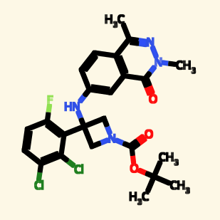 Cc1nn(C)c(=O)c2cc(NC3(c4c(F)ccc(Cl)c4Cl)CN(C(=O)OC(C)(C)C)C3)ccc12